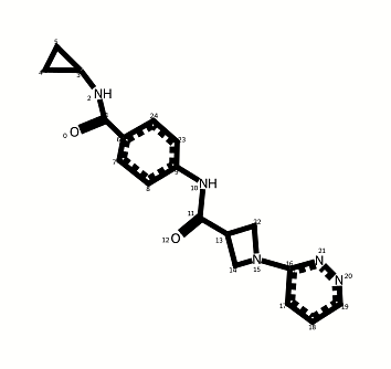 O=C(NC1CC1)c1ccc(NC(=O)C2CN(c3cccnn3)C2)cc1